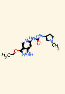 CCOc1n[nH]c2cc(NC(=O)NC3CCN(C)C3)ncc12